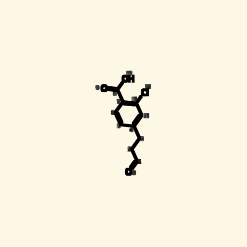 O=CCCc1ccc(C(=O)O)c(Cl)c1